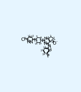 [O-][S+]1CCc2nc(N3CCN(c4ccc(Cl)nn4)CC3)nc(Nc3cccc(F)c3)c21